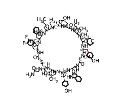 CCCC[C@H]1C(=O)N(C)CC(=O)N[C@@H](CC(=O)O)C(=O)N[C@@H](C(C)C)C(=O)N(C)[C@@H](Cc2ccccc2)C(=O)N[C@@H](Cc2ccc(O)cc2)C(=O)N(C)CC(=O)N[C@@H](Cc2c[nH]c3ccccc23)C(=O)N[C@H](CCc2ccc(O)cc2)C(=O)N[C@@H](CC(C)C)C(=O)N[C@H](C(=O)NCC(N)=O)CSCC(=O)N[C@@H](Cc2ccc(F)c(F)c2)C(=O)N(C)[C@@H](Cc2ccccc2)C(=O)N1C